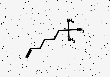 C=CCCCCC(N)(N)N